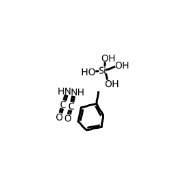 Cc1ccccc1.N=C=O.N=C=O.O[Si](O)(O)O